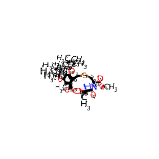 COC(=O)[C@@H]1CSCc2c(O[Si](C)(C)C(C)(C)C)cc(O[Si](C)(C)C(C)(C)C)c(C)c2C(=O)O[C@H](C)C(=O)N1